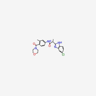 Cc1cc(NC(=O)C(C)c2nc3cc(Cl)ccc3[nH]2)ccc1C(=O)N1CCOCC1